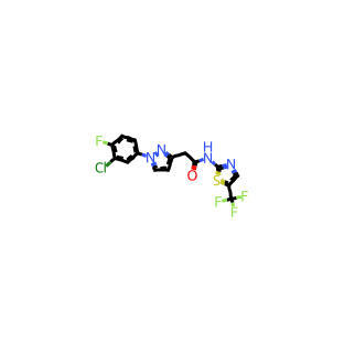 O=C(Cc1ccn(-c2ccc(F)c(Cl)c2)n1)Nc1ncc(C(F)(F)F)s1